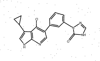 O=c1[nH]cnn1-c1cccc(-c2cnc3[nH]cc(C4CC4)c3c2Cl)c1